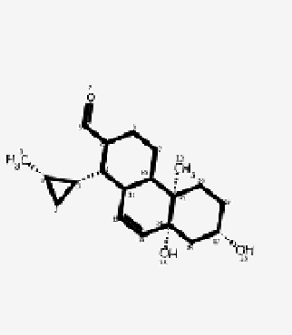 C[C@H]1C[C@H]1C1C(C=O)CCC2C1C=C[C@]1(O)C[C@@H](O)CC[C@]21C